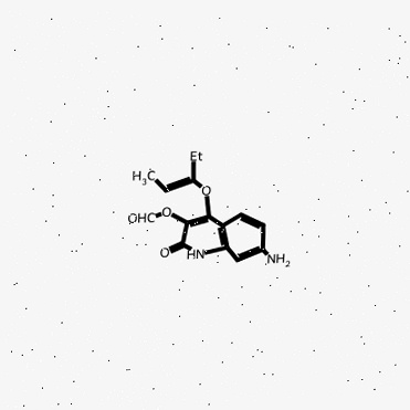 CC=C(CC)Oc1c(OC=O)c(=O)[nH]c2cc(N)ccc12